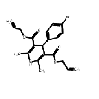 C=CCOC(=O)C1=C(C)NC(C)=C(C(=O)OCC=C)C1c1ccc(Br)cc1